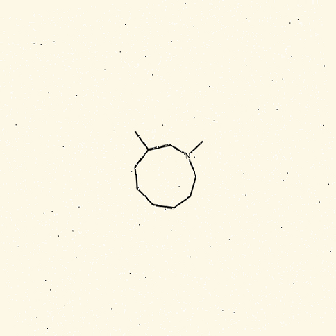 CC1CCCCCCN(C)C1